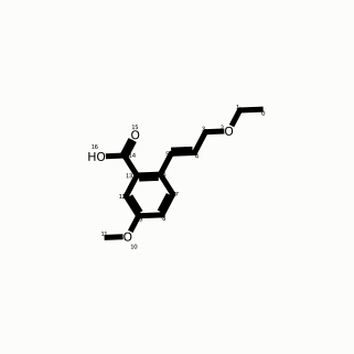 CCOCC=Cc1ccc(OC)cc1C(=O)O